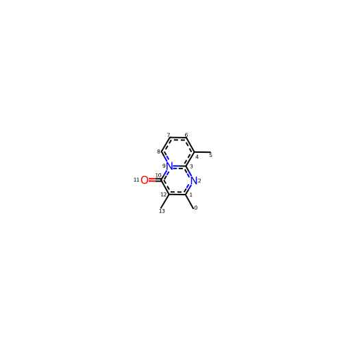 Cc1nc2c(C)cccn2c(=O)c1C